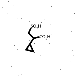 O=C(O)C(CS(=O)(=O)O)C1CC1